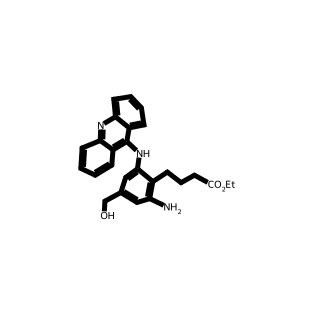 CCOC(=O)CCCc1c(N)cc(CO)cc1Nc1c2ccccc2nc2ccccc12